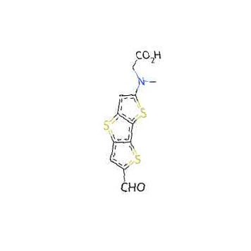 CN(CC(=O)O)c1cc2sc3cc(C=O)sc3c2s1